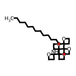 CCCCCCCCCCCCCC1(C2(C3(C4(C5(N)CCO5)CCO4)CCO3)CCO2)CCO1